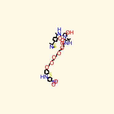 Cc1ncsc1-c1ccc(C(C)NC(=O)[C@@H]2C[C@@H](O)CN2C(=O)C(NC(=O)COCCOCCOCCOCCOc2ccc3c(c2)Sc2cc([N+](=O)[O-])ccc2N3)C(C)(C)C)cc1